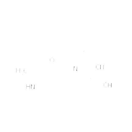 CNC1CCCC(C)(C)N(C23CCC(CC2)C3)C1=O